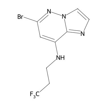 FC(F)(F)CCNc1cc(Br)nn2ccnc12